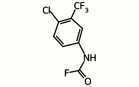 O=C(F)Nc1ccc(Cl)c(C(F)(F)F)c1